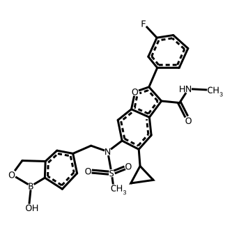 CNC(=O)c1c(-c2cccc(F)c2)oc2cc(N(Cc3ccc4c(c3)COB4O)S(C)(=O)=O)c(C3CC3)cc12